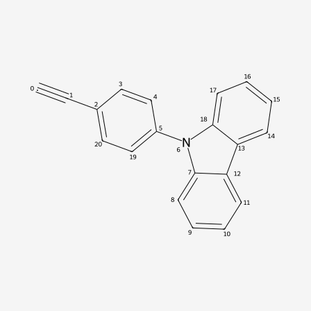 [C]#Cc1ccc(-n2c3ccccc3c3ccccc32)cc1